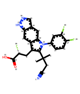 CC(C)(CC#N)c1c(C[C@@H](F)C(=O)O)c2cc3[nH]ncc3cc2n1-c1ccc(F)c(F)c1